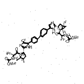 COC(=O)N[C@H](C(=O)N1C(C)[C@H](C)C[C@H]1c1nc(Cl)c(-c2ccc(-c3ccc(-c4cnc([C@@H]5C[C@H]6C[C@H]6N5C(=O)[C@@H](NC(=O)OC)C(C)C)[nH]4)cc3)cc2)[nH]1)C(C)C